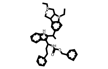 CCN1CCC2c3cc(C(C)c4[nH]c5ccccc5c4C(CCc4ccccc4)NC(=O)OCc4ccccc4)ccc3N(CC)C2C1